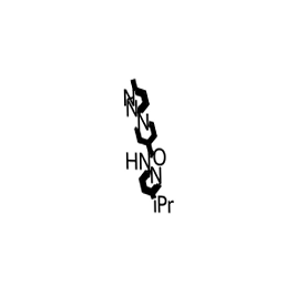 Cc1ccc(N2CCC(C(=O)Nc3ccc(C(C)C)cn3)CC2)nn1